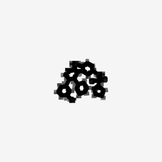 O=S(=O)(Nc1ccc2[nH]c3ncc(-c4cccc(Br)c4)c(-c4ccccc4)c3c2c1)c1cccs1